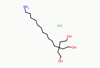 Cl.NCCCCCCCCCCCC(CCO)(CCO)CCO